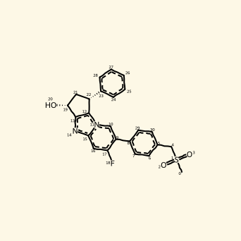 CS(=O)(=O)Cc1ccc(-c2cn3c4c(nc3cc2F)[C@H](O)C[C@@H]4c2ccccc2)cc1